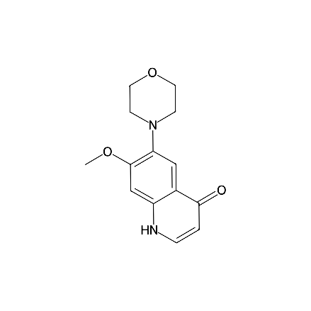 COc1cc2[nH]ccc(=O)c2cc1N1CCOCC1